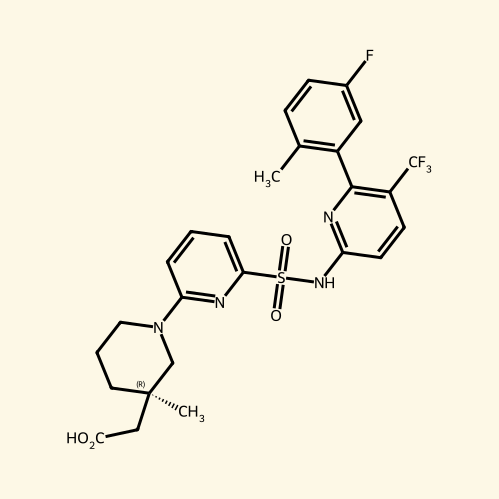 Cc1ccc(F)cc1-c1nc(NS(=O)(=O)c2cccc(N3CCC[C@](C)(CC(=O)O)C3)n2)ccc1C(F)(F)F